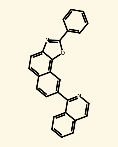 c1ccc(-c2nc3ccc4ccc(-c5nccc6ccccc56)cc4c3o2)cc1